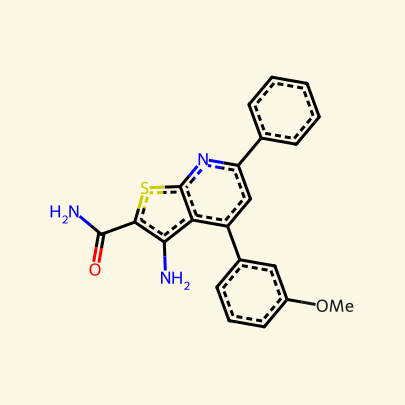 COc1cccc(-c2cc(-c3ccccc3)nc3sc(C(N)=O)c(N)c23)c1